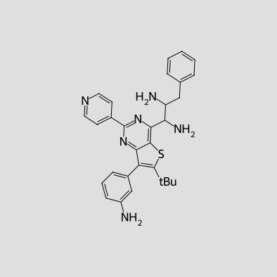 CC(C)(C)c1sc2c(C(N)C(N)Cc3ccccc3)nc(-c3ccncc3)nc2c1-c1cccc(N)c1